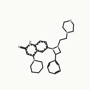 O=c1cc(N2CCCCC2)c2cc(N3C(C4=CC=CCC=C4)CN3CCN3CCOCC3)ccc2[nH]1